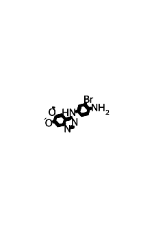 COc1cc2ncnc(Nc3ccc(N)c(Br)c3)c2cc1OC